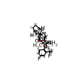 CC(C)(Oc1ccc(F)cc1C(F)(F)F)C(=O)N[C@H]1C[C@H]2CC[C@@H](C1)N2c1ccc(C(N)=O)cn1